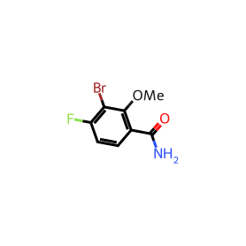 COc1c(C(N)=O)ccc(F)c1Br